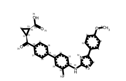 COc1ccc(-c2csc(Nc3ccc(-c4ccc(C(=O)[C@H]5C[C@@H]5C(=O)O)cc4)cc3F)n2)cc1